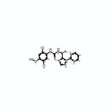 CCOc1cc(Cl)c(NC(=O)N[C@@H](C)c2ncnn2-c2ncccn2)cc1Cl